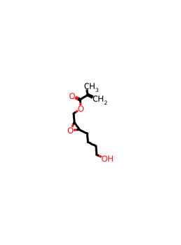 C=C(C)C(=O)OCC1OC1CCCCO